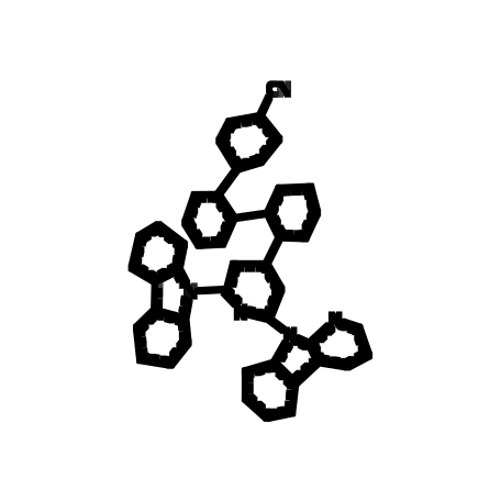 N#Cc1ccc(-c2ccccc2-c2ccccc2-c2cc(-n3c4ccccc4c4ccccc43)nc(-n3c4ccccc4c4cccnc43)c2)cc1